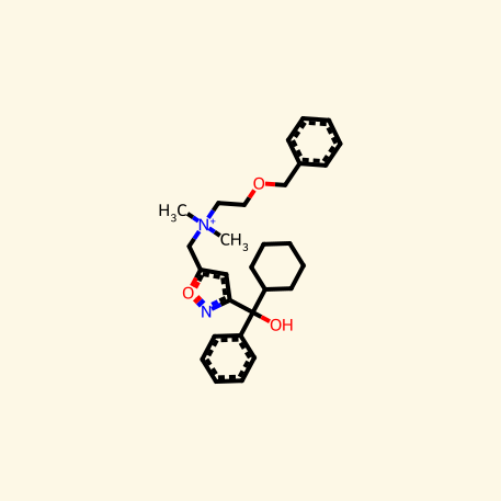 C[N+](C)(CCOCc1ccccc1)Cc1cc(C(O)(c2ccccc2)C2CCCCC2)no1